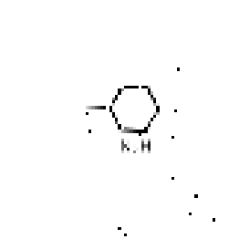 [CH2]C1CCCCC1.[NaH]